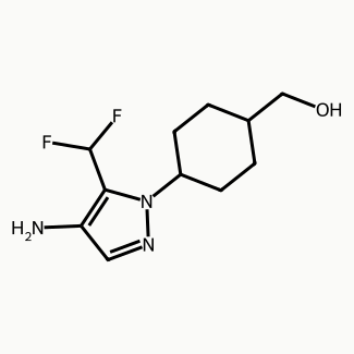 Nc1cnn(C2CCC(CO)CC2)c1C(F)F